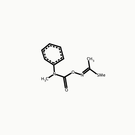 CS/C(C)=N/OC(=O)N(C)c1ccccc1